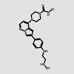 CCNC(=O)N1CCN(c2ccnn3cc(-c4ccc(NCCNC(C)C)cc4)cc23)CC1